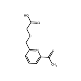 CC(=O)c1cccc(COCC(=O)O)n1